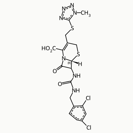 Cn1nnnc1SCC1=C(C(=O)O)N2C(=O)C(NC(=O)NCc3ccc(Cl)cc3Cl)[C@H]2SC1